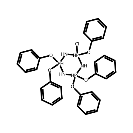 Cl[PH]1(Oc2ccccc2)N[PH](Oc2ccccc2)(Oc2ccccc2)N[PH](Oc2ccccc2)(Oc2ccccc2)N1